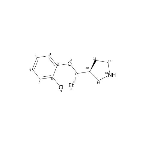 CC[C@H](Oc1ccccc1Cl)[C@H]1CCNC1